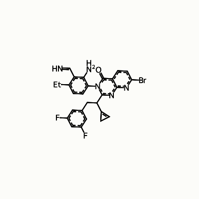 CCc1ccc(-n2c(C(Cc3cc(F)cc(F)c3)C3=CC3)nc3nc(Br)ccc3c2=O)c(N)c1C=N